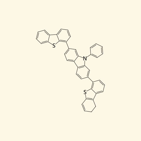 C1=Cc2sc3c(-c4ccc5c6ccc(-c7cccc8c7sc7ccccc78)cc6n(-c6ccccc6)c5c4)cccc3c2CC1